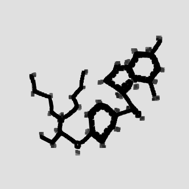 CCCCN(CCCC)C(CC)Oc1ccc(C(=O)c2cnc3cc(C)cc(C)n23)cc1